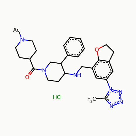 CC(=O)N1CCC(C(=O)N2CCC(NCc3cc(-n4nnnc4C(F)(F)F)cc4c3OCC4)C(c3ccccc3)C2)CC1.Cl